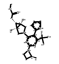 COC(=O)C[C@@H]1[C@H]2CN(c3nc(N4CC[C@@H]4C)nc(C(F)(F)F)c3-c3cccs3)C[C@@H]12